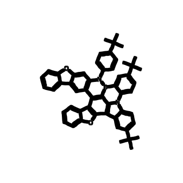 CC(C)(C)c1ccc(N2B3c4cc(C(C)(C)C)ccc4-n4c5ccc(C(C)(C)C)cc5c5c6oc7ccccc7c6c(c3c54)-c3cc4c(cc32)oc2ccccc24)cc1